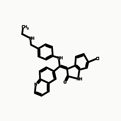 CCNCc1ccc(NC(=C2C(=O)Nc3cc(Cl)ccc32)c2ccc3ncccc3c2)cc1